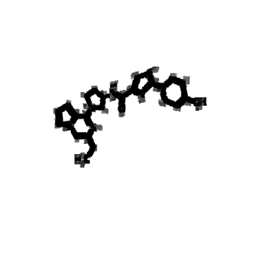 CCc1cn2cccc2c(N2CC[C@H](NC(=O)c3csc(N4CCC(O)CC4)n3)C2)n1